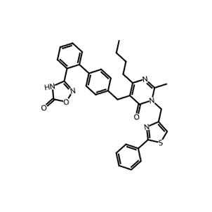 CCCCc1nc(C)n(Cc2csc(-c3ccccc3)n2)c(=O)c1Cc1ccc(-c2ccccc2-c2noc(=O)[nH]2)cc1